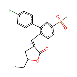 CCC1C/C(=C/c2ccc(S(C)(=O)=O)cc2-c2ccc(F)cc2)C(=O)O1